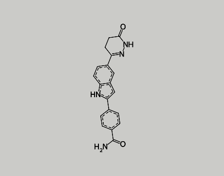 NC(=O)c1ccc(-c2cc3cc(C4=NNC(=O)CC4)ccc3[nH]2)cc1